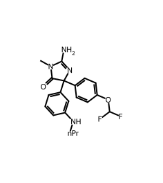 CCCNc1cccc(C2(c3ccc(OC(F)F)cc3)N=C(N)N(C)C2=O)c1